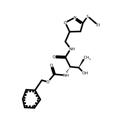 CCSC1=NOC(CNC(=O)[C@@H](NC(=O)OCc2ccccc2)[C@@H](C)O)C1